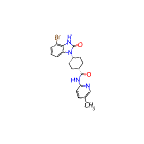 Cc1ccc(NC(=O)[C@H]2CC[C@@H](n3c(=O)[nH]c4c(Br)cccc43)CC2)nc1